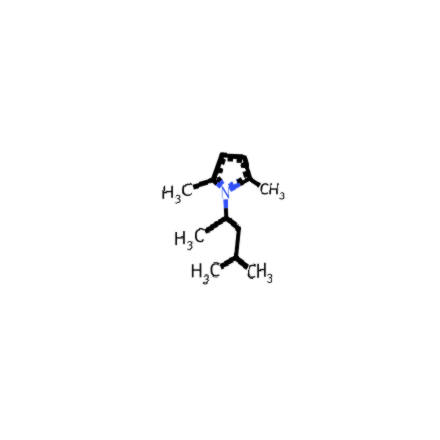 Cc1ccc(C)n1C(C)CC(C)C